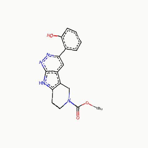 CC(C)(C)OC(=O)N1CCc2[nH]c3nnc(-c4ccccc4O)cc3c2C1